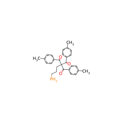 Cc1ccc(C(=O)C(CCCP)(C(=O)c2ccc(C)cc2)C(=O)c2ccc(C)cc2)cc1